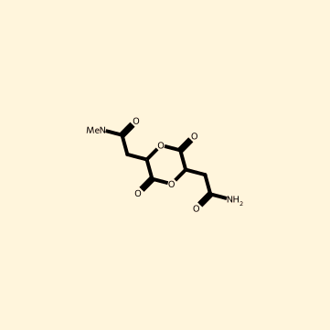 CNC(=O)CC1OC(=O)C(CC(N)=O)OC1=O